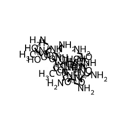 CC(C)C[C@H](NC(=O)[C@@H](CC(C)C)NC(=O)[C@H](CCN)NC(=O)[C@H](CCN)NC(=O)[C@H](CCN)NC(=O)[C@@H](NC(=O)[C@@H](N)CCN)[C@@H](C)O)C(=O)N[C@@H](CCN)C(=O)N[C@@H](CCN)C(=O)N[C@H](C(=O)O)[C@@H](C)O